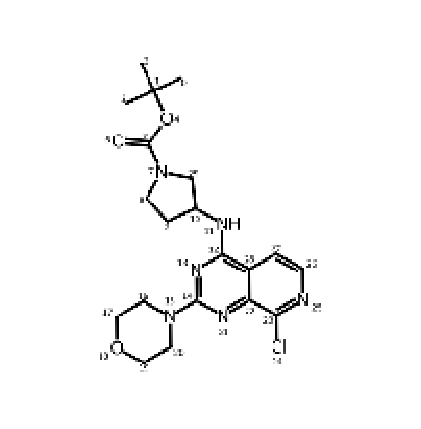 CC(C)(C)OC(=O)N1CCC(Nc2nc(N3CCOCC3)nc3c(Cl)nccc23)C1